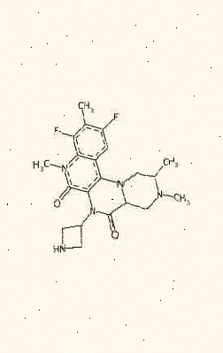 Cc1c(F)cc2c3c(c(=O)n(C)c2c1F)N(C1CNC1)C(=O)C1CN(C)C(C)CN31